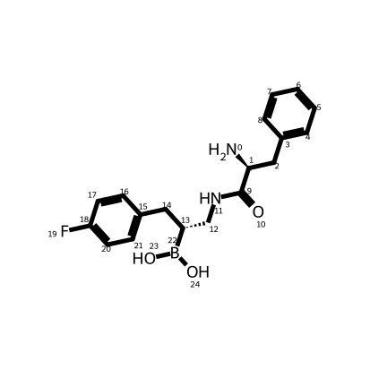 N[C@@H](Cc1ccccc1)C(=O)NC[C@@H](Cc1ccc(F)cc1)B(O)O